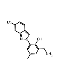 CCc1ccc2nn(-c3cc(C)cc(CN)c3O)nc2c1